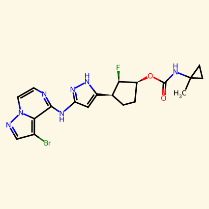 CC1(NC(=O)O[C@H]2CC[C@@H](c3cc(Nc4nccn5ncc(Br)c45)n[nH]3)[C@H]2F)CC1